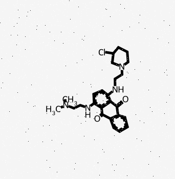 CN(C)CCNc1ccc(NCCN2CCCC(Cl)C2)c2c1C(=O)c1ccccc1C2=O